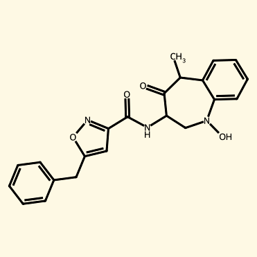 CC1C(=O)C(NC(=O)c2cc(Cc3ccccc3)on2)CN(O)c2ccccc21